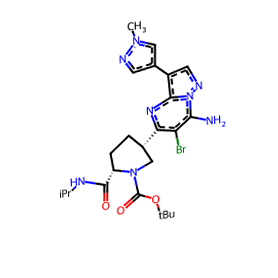 CC(C)NC(=O)[C@@H]1CC[C@H](c2nc3c(-c4cnn(C)c4)cnn3c(N)c2Br)CN1C(=O)OC(C)(C)C